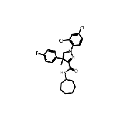 CC1(c2ccc(F)cc2)CN(c2ccc(Cl)cc2Cl)N=C1C(=O)NC1CCCCCC1